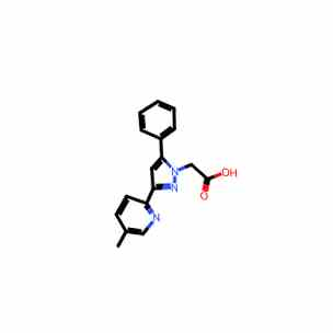 Cc1ccc(-c2cc(-c3ccccc3)n(CC(=O)O)n2)nc1